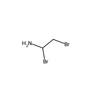 NC(Br)CBr